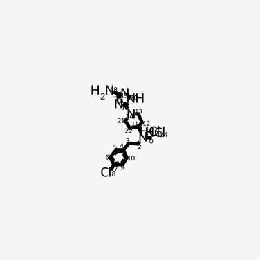 CN(CCc1ccc(Cl)cc1)C1CCN(c2nc(N)n[nH]2)CC1.Cl.Cl